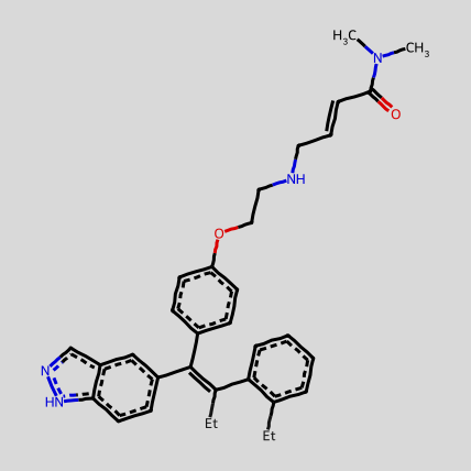 CC/C(=C(/c1ccc(OCCNC/C=C/C(=O)N(C)C)cc1)c1ccc2[nH]ncc2c1)c1ccccc1CC